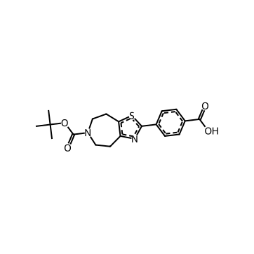 CC(C)(C)OC(=O)N1CCc2nc(-c3ccc(C(=O)O)cc3)sc2CC1